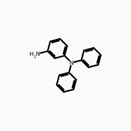 Nc1cccc(N(c2ccccc2)c2ccccc2)c1